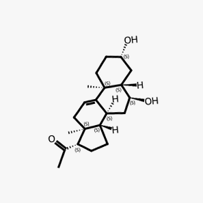 CC(=O)[C@H]1CC[C@H]2[C@@H]3C[C@H](O)[C@H]4C[C@@H](O)CC[C@]4(C)C3=CC[C@]12C